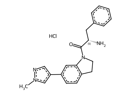 Cl.Cn1cc(-c2ccc3c(c2)N(C(=O)[C@@H](N)Cc2ccccc2)CC3)cn1